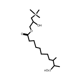 CCCCCCCCC(C)C(C)CCCCCCCC(=O)OCC(O)C[N+](C)(C)C